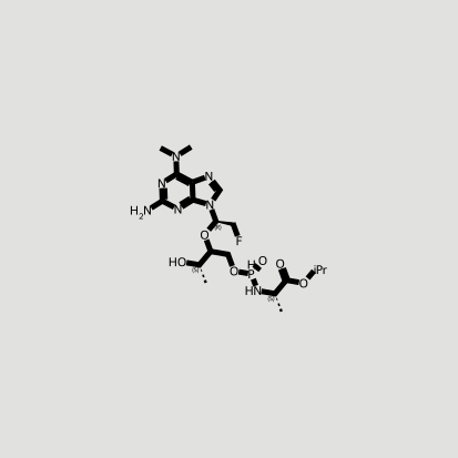 CC(C)OC(=O)[C@H](C)N[PH](=O)OCC(O[C@H](CF)n1cnc2c(N(C)C)nc(N)nc21)[C@H](C)O